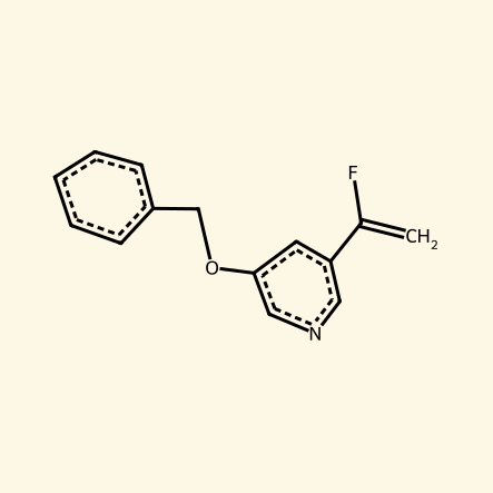 C=C(F)c1cncc(OCc2ccccc2)c1